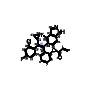 C=CC(=O)Oc1ccccc1/C(=C(\c1ccc(F)cc1Cl)C1CC1)c1ccc2[nH]ncc2c1F